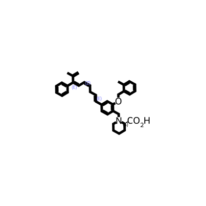 C=C(C)/C(=C\C=C/C/C=C/c1ccc(CN2CCCC[C@H]2C(=O)O)c(OCc2ccccc2C)c1)c1ccccc1